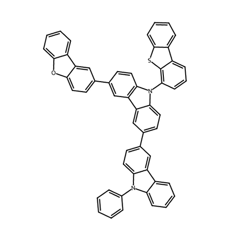 c1ccc(-n2c3ccccc3c3cc(-c4ccc5c(c4)c4cc(-c6ccc7oc8ccccc8c7c6)ccc4n5-c4cccc5c4sc4ccccc45)ccc32)cc1